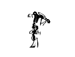 CCOCCNC(=O)CN1CCN(CCCn2cc(C(=O)NCc3ccccc3)c3cccc(CC)c32)CC1